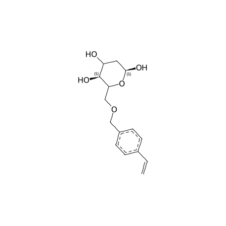 C=Cc1ccc(COCC2O[C@H](O)CC(O)[C@@H]2O)cc1